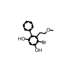 COCCc1c(Br)c(O)cc(O)c1-c1cc[c]cc1